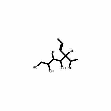 CC=CC(O)(C(C)O)C(O)C(O)C(O)CO